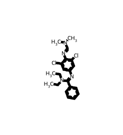 CCN(CC)C(=Nc1cc(Cl)c(N=CN(C)C)c(Cl)c1)c1ccccc1